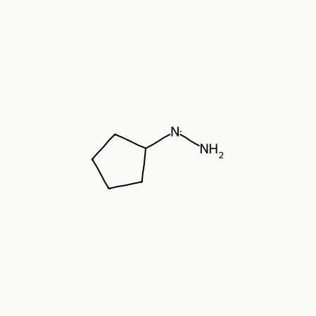 N[N]C1CCCC1